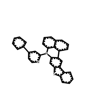 c1ccc(-c2ccnc(N3c4cc5sc6ccccc6c5cc4-c4cccc5cccc3c45)c2)cc1